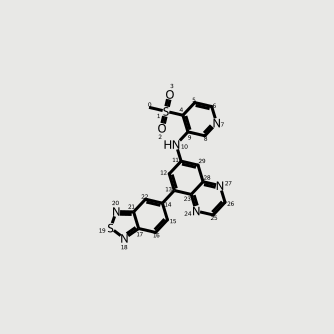 CS(=O)(=O)c1ccncc1Nc1cc(-c2ccc3nsnc3c2)c2nccnc2c1